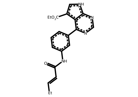 CC/C=C/C(=O)Nc1cccc(-c2ncnc3[nH]cc(C(=O)OCC)c23)c1